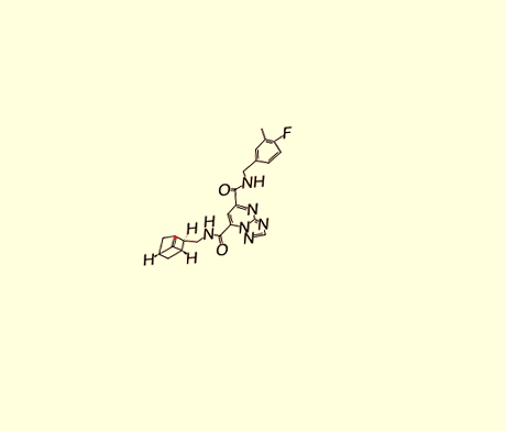 C=C1[C@H]2CC[C@@H](CNC(=O)c3cc(C(=O)NCc4ccc(F)c(C)c4)nc4ncnn34)[C@@H]1C2